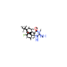 CN1C(=N)N[C@](C)(c2ccc(F)cc2)[C@@H](c2ccc(C(C)(C)C)cc2)C1=O